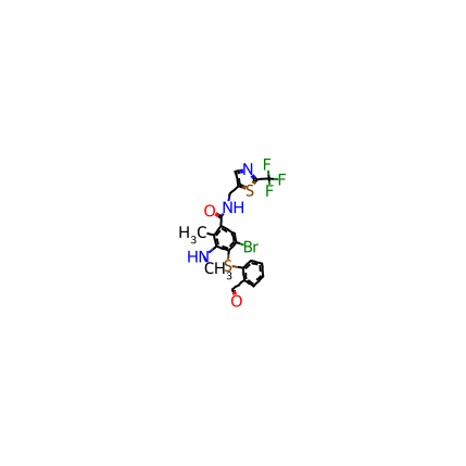 CNc1c(C)c(C(=O)NCc2cnc(C(F)(F)F)s2)cc(Br)c1Sc1ccccc1C=O